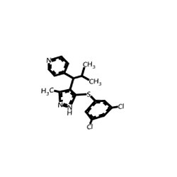 Cc1n[nH]c(Sc2cc(Cl)cc(Cl)c2)c1C(c1ccncc1)C(C)C